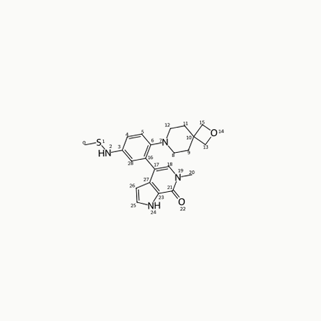 CSNc1ccc(N2CCC3(CC2)COC3)c(-c2cn(C)c(=O)c3[nH]ccc23)c1